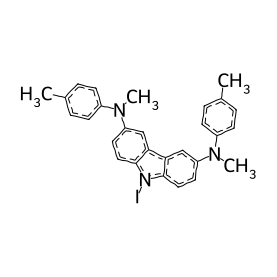 Cc1ccc(N(C)c2ccc3c(c2)c2cc(N(C)c4ccc(C)cc4)ccc2n3I)cc1